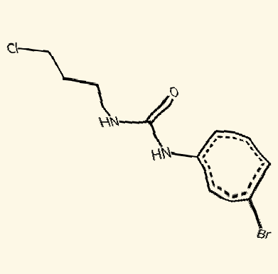 O=C(NCCCCl)Nc1cccc(Br)c1